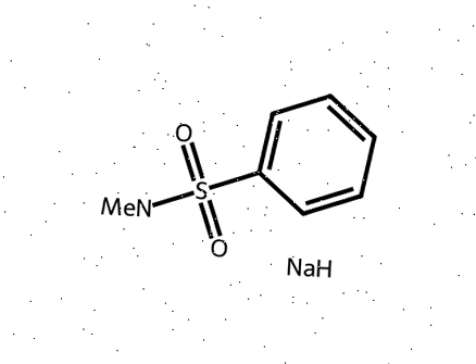 CNS(=O)(=O)c1ccccc1.[NaH]